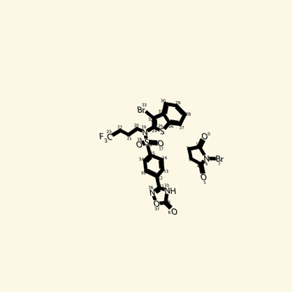 O=C1CCC(=O)N1Br.O=c1[nH]c(-c2ccc(S(=O)(=O)N(CCCC(F)(F)F)c3sc4ccccc4c3Br)cc2)no1